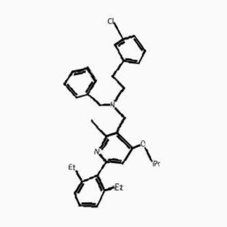 CCc1cccc(CC)c1-c1cc(OC(C)C)c(CN(CCc2cccc(Cl)c2)Cc2ccccc2)c(C)n1